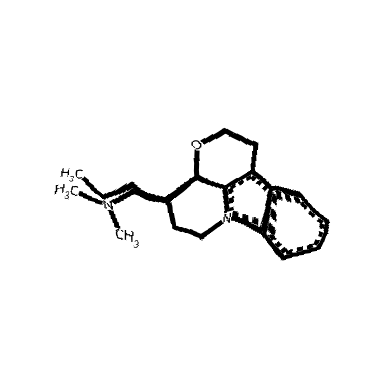 CCCCC12OCCc3c1n(c1ccccc31)CCC2CN(C)C